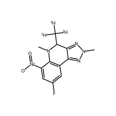 [2H]C([2H])([2H])C1c2nn(C)nc2-c2cc(F)cc([N+](=O)[O-])c2N1C